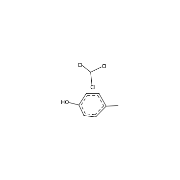 Cc1ccc(O)cc1.ClC(Cl)Cl